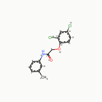 Cc1cccc(NC(=O)COc2ccc(Cl)cc2Cl)c1